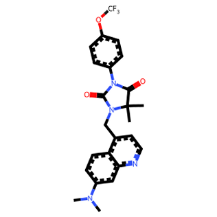 CN(C)c1ccc2c(CN3C(=O)N(c4ccc(OC(F)(F)F)cc4)C(=O)C3(C)C)ccnc2c1